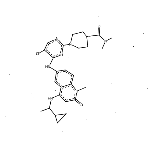 CC(Nc1cc(=O)n(C)c2ccc(Nc3nc(N4CCC(C(=O)N(C)C)CC4)ncc3Cl)cc12)C1CC1